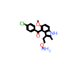 COc1ccc2[nH]c(C)c(CCON)c2c1C(=O)c1ccc(Cl)cc1